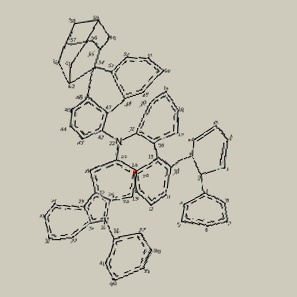 C1=CC(c2ccccc2)C(c2ccccc2-c2ccccc2N(c2ccc3c(c2)c2ccccc2n3-c2ccccc2)c2cccc3c2-c2ccccc2C32C3CC4CC(C3)CC2C4)C=C1